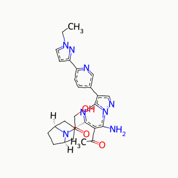 CCn1ccc(-c2ccc(-c3cnn4c(N)c(C(C)=O)c([C@@H]5C[C@H]6CC[C@@H](C5)N6C(=O)CO)nc34)cn2)n1